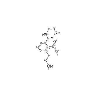 O=[N+]([O-])c1c(CCO)cccc1C1COCCN1